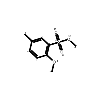 COc1ccc(C)cc1S(=O)(=O)OC